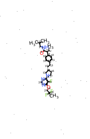 C=C(C)CNC(=O)C(C)c1ccc(CC[C@@H]2CCN(c3ncnc(OCC(C)(F)F)c3F)C2)cc1